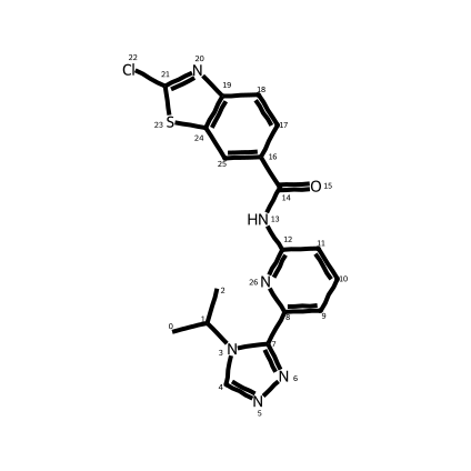 CC(C)n1cnnc1-c1cccc(NC(=O)c2ccc3nc(Cl)sc3c2)n1